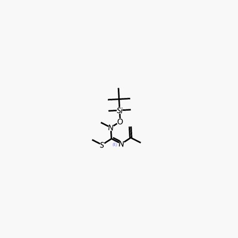 C=C(C)/N=C(/SC)N(C)O[Si](C)(C)C(C)(C)C